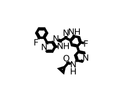 O=C(Nc1cncc(-c2cc3c(-c4nc5c(-c6ccccc6F)nccc5[nH]4)n[nH]c3cc2F)c1)C1CC1